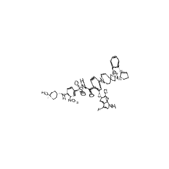 CC(C)c1ccccc1[C@@H]1CCC[C@@H]1N1CC2(CCN(c3ccc(C(=O)NS(=O)(=O)c4ccc(NC[C@H]5CC[C@](C)(O)CC5)c([N+](=O)[O-])c4)c(Oc4cc5c(F)c[nH]c5nc4Cl)c3)CC2)C1